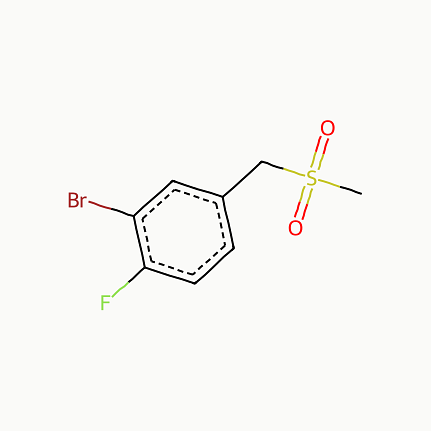 CS(=O)(=O)Cc1ccc(F)c(Br)c1